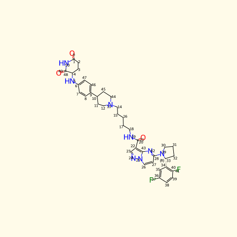 O=C1CCC(Nc2ccc(C3CCN(CCCCCNC(=O)c4cnn5ccc(N6CCC[C@@H]6c6cc(F)ccc6F)nc45)CC3)cc2)C(=O)N1